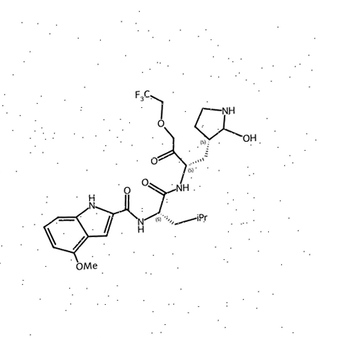 COc1cccc2[nH]c(C(=O)N[C@@H](CC(C)C)C(=O)N[C@@H](C[C@@H]3CCNC3O)C(=O)COCC(F)(F)F)cc12